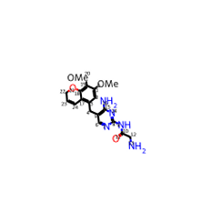 COc1cc(Cc2cnc(NC(=O)CN)nc2N)c2c(c1OC)OCC=C2